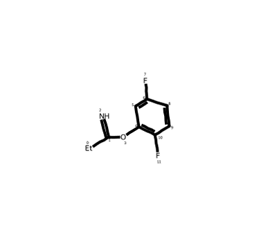 CCC(=N)Oc1cc(F)ccc1F